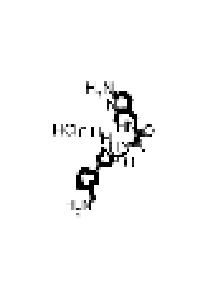 Cc1nc(N)ccc1CNC(=O)[C@H](C)NC(=O)[C@H]1C[C@@H](c2cccc(CN)c2)CN1.Cl.Cl